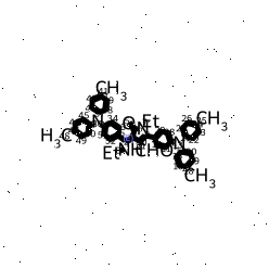 CCN/C(=C1/C(=O)N(CC)C(c2ccc(N(c3ccc(C)cc3)c3ccc(C)cc3)cc2)=C1C=O)c1ccc(N(c2ccc(C)cc2)c2ccc(C)cc2)cc1